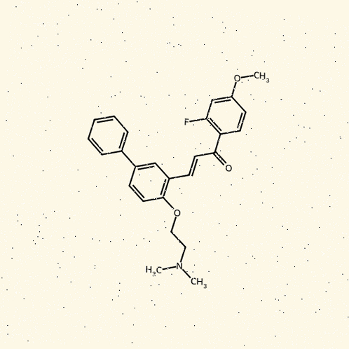 COc1ccc(C(=O)C=Cc2cc(-c3ccccc3)ccc2OCCN(C)C)c(F)c1